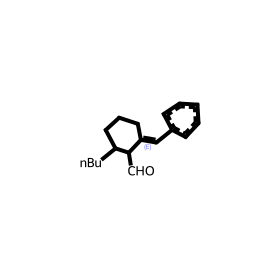 CCCCC1CCC/C(=C\c2ccccc2)C1C=O